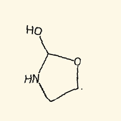 OC1NC[CH]O1